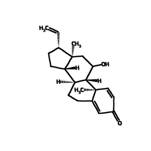 C=C[C@H]1CC[C@H]2[C@@H]3CCC4=CC(=O)C=C[C@]4(C)[C@H]3C(O)C[C@]12C